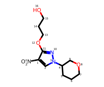 O=[N+]([O-])c1cn(C2CCCOC2)nc1OCCCO